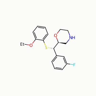 CCOc1ccccc1S[C@@H](c1cccc(F)c1)[C@@H]1CNCCO1